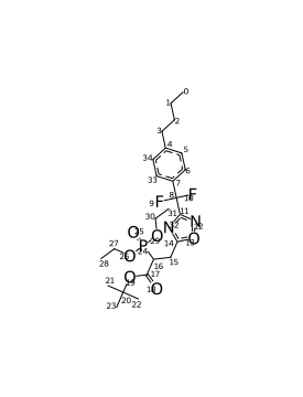 CCCCc1ccc(C(F)(F)c2noc(CC(C(=O)OC(C)(C)C)P(=O)(OCC)OCC)n2)cc1